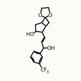 OC(C=CC1C(O)CC2C1CC21OCCO1)c1cccc(C(F)(F)F)c1